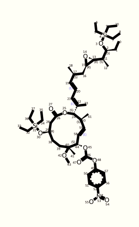 CC[C@H](O[Si](CC)(CC)CC)[C@@H](C)[C@H]1O[C@@H]1C[C@H](C)/C=C/C=C(\C)[C@H]1OC(=O)C[C@H](O[Si](CC)(CC)CC)CC[C@@](C)(OC)[C@@H](OC(=O)Oc2ccc([N+](=O)[O-])cc2)/C=C/[C@@H]1C